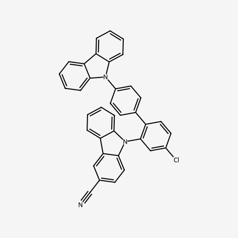 N#Cc1ccc2c(c1)c1ccccc1n2-c1cc(Cl)ccc1-c1ccc(-n2c3ccccc3c3ccccc32)cc1